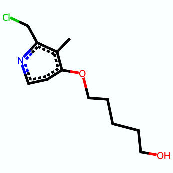 Cc1c(OCCCCCO)ccnc1CCl